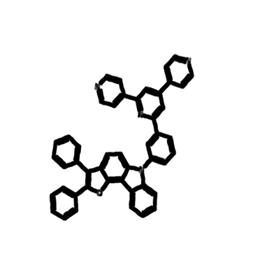 c1ccc(-c2oc3c(ccc4c3c3ccccc3n4-c3cccc(-c4cc(-c5ccncc5)cc(-c5ccncc5)n4)c3)c2-c2ccccc2)cc1